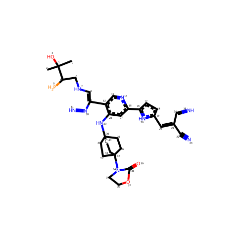 CC(C)(O)C(P)CN/C=C(\N=N)c1cnc(-c2ccc(/C=C(/C#N)C=N)[nH]2)cc1NC12CCC(N3CCOC3=O)(CC1)CC2